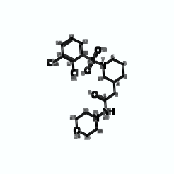 O=C(CC1CCCN(S(=O)(=O)c2cccc(Cl)c2Cl)C1)NN1CCOCC1